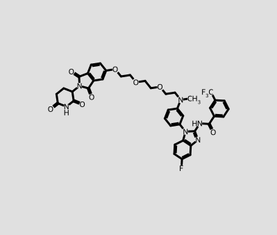 CN(CCOCCOCCOc1ccc2c(c1)C(=O)N(C1CCC(=O)NC1=O)C2=O)c1cccc(-n2c(NC(=O)c3cccc(C(F)(F)F)c3)nc3cc(F)ccc32)c1